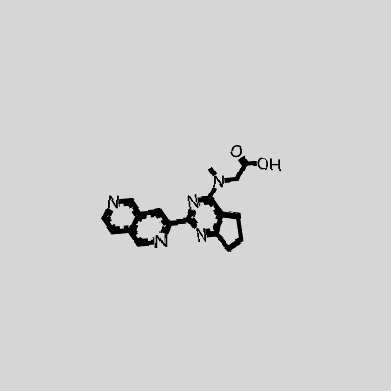 CN(CC(=O)O)c1nc(-c2cc3cnccc3cn2)nc2c1CCC2